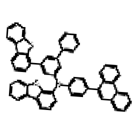 c1ccc(-c2cc(-c3cccc4c3sc3ccccc34)cc(N(c3ccc(-c4cc5ccccc5c5ccccc45)cc3)c3cccc4c3sc3ccccc34)c2)cc1